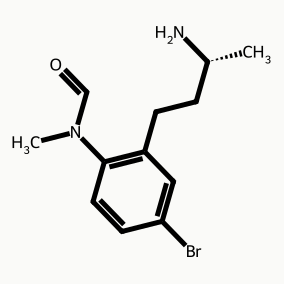 C[C@@H](N)CCc1cc(Br)ccc1N(C)C=O